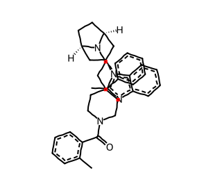 Cc1ccccc1C(=O)N1CCC(CCN2[C@@H]3CC[C@H]2C[C@@H](n2c(C)nc4ccccc42)C3)(c2ccccc2)CC1